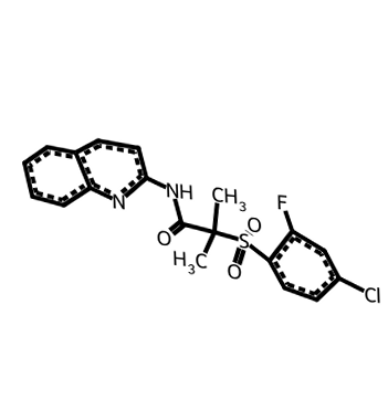 CC(C)(C(=O)Nc1ccc2ccccc2n1)S(=O)(=O)c1ccc(Cl)cc1F